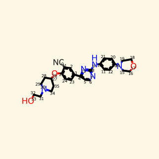 N#Cc1cc(-c2ccnc(Nc3ccc(N4CCOCC4)cc3)n2)ccc1OC1CCN(CCO)CC1